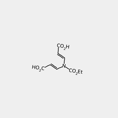 CCOC(=O)N(C=CC(=O)O)C=CC(=O)O